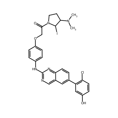 CN(C)C1CCN(C(=O)COc2ccc(Nc3ncc4cc(-c5cc(O)ccc5Cl)ccc4n3)cc2)C1I